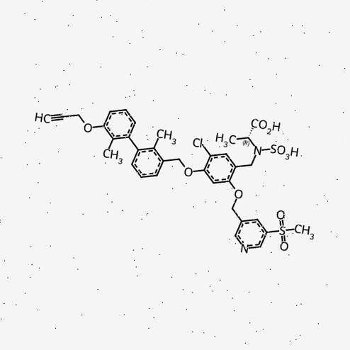 C#CCOc1cccc(-c2cccc(COc3cc(OCc4cncc(S(C)(=O)=O)c4)c(CN([C@H](C)C(=O)O)S(=O)(=O)O)cc3Cl)c2C)c1C